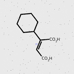 O=C(O)/C=C(\C(=O)O)C1CCCCC1